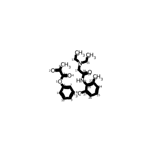 CC(=O)C(=O)Oc1ccccc1.CCN(CC)CC(=O)Nc1c(C)cccc1C